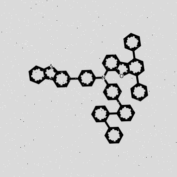 c1ccc(-c2ccccc2-c2ccccc2-c2ccc(N(c3ccc(-c4ccc5c(c4)sc4ccccc45)cc3)c3cccc4c3oc3c(-c5ccccc5)ccc(-c5ccccc5)c34)cc2)cc1